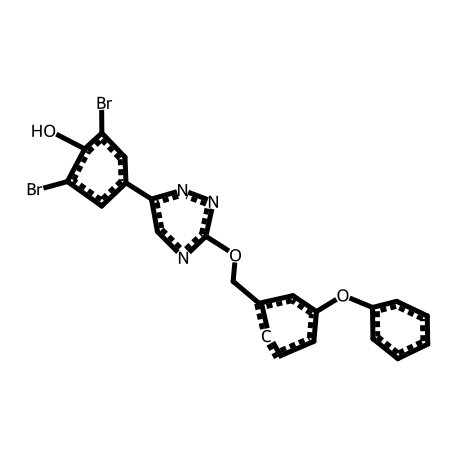 Oc1c(Br)cc(-c2cnc(OCc3cccc(Oc4ccccc4)c3)nn2)cc1Br